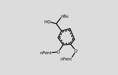 [CH2]CCCC(O)c1ccc(OCCCCC)c(OCCCCC)c1